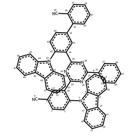 N#Cc1ccc(-n2c3ccccc3c3ccccc32)c(-c2nc(-c3ccccc3)nc(-c3cc(-c4ccccc4C#N)ccc3-n3c4ccccc4c4ccccc43)n2)c1